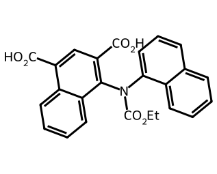 CCOC(=O)N(c1cccc2ccccc12)c1c(C(=O)O)cc(C(=O)O)c2ccccc12